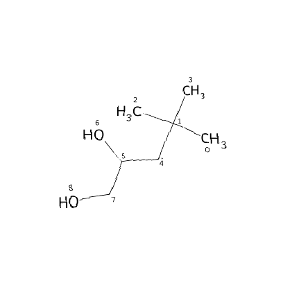 CC(C)(C)[CH]C(O)CO